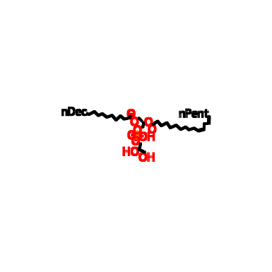 CCCCC/C=C\C/C=C\CCCCCCCCCC(=O)O[C@H](COC(=O)CCCCCCCCCCCCCCCCCCC)COP(=O)(O)OC[C@@H](O)CO